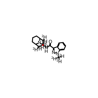 [2H]C1([2H])C2CCCC(N2C([2H])([2H])[2H])C([2H])([2H])C1NC(=O)c1nn(C([2H])([2H])[2H])c2ccccc12